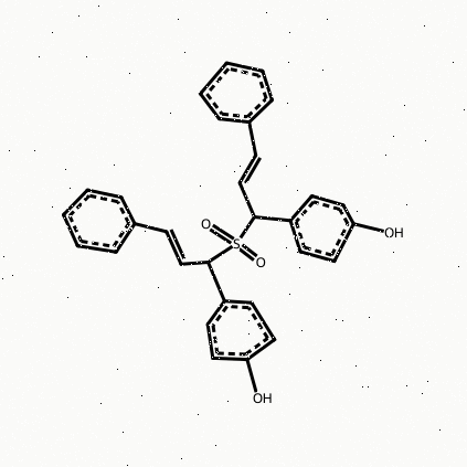 O=S(=O)(C(C=Cc1ccccc1)c1ccc(O)cc1)C(C=Cc1ccccc1)c1ccc(O)cc1